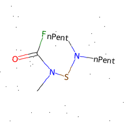 CCCCCN(CCCCC)SN(C)C(=O)F